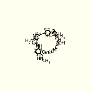 CNCc1cccc2c1OCCCCCC[C@H](O)CC(C)(C)S(=O)(=O)c1ccc(cc1)-c1cnc(N)c(n1)C(=O)N2